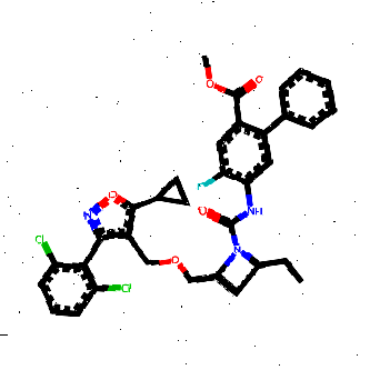 CCC1CC(COCc2c(-c3c(Cl)cccc3Cl)noc2C2CC2)N1C(=O)Nc1cc(-c2ccccc2)c(C(=O)OC)cc1F